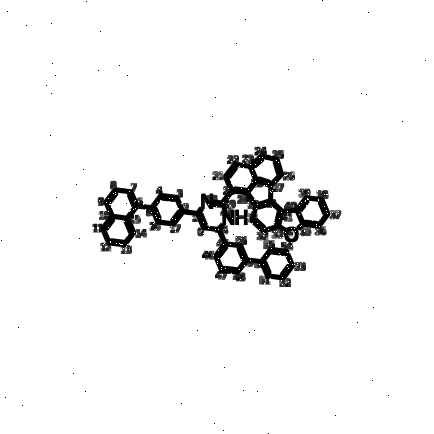 C1=C(c2ccc(-c3cccc4ccccc34)cc2)N=C(c2ccc3cccc4c3c2-c2ccc3oc5ccccc5c3c2-4)NC1c1cccc(-c2ccccc2)c1